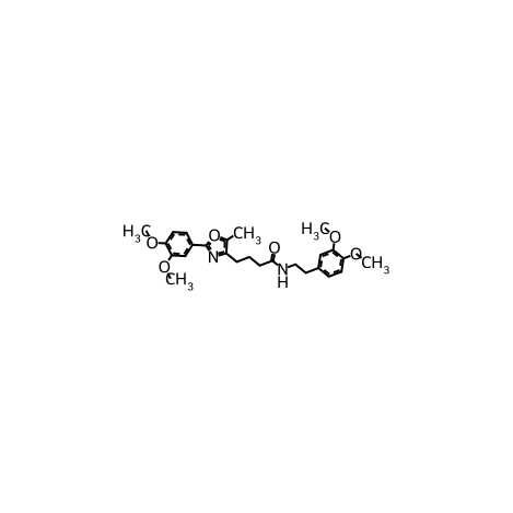 COc1ccc(CCNC(=O)CCCc2nc(-c3ccc(OC)c(OC)c3)oc2C)cc1OC